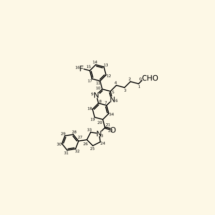 O=CCCCCc1nc2c(nc1-c1cccc(F)c1)=CCC(C(=O)N1CCC(c3ccccc3)C1)C=2